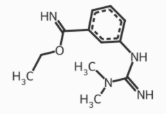 CCOC(=N)c1cccc(NC(=N)N(C)C)c1